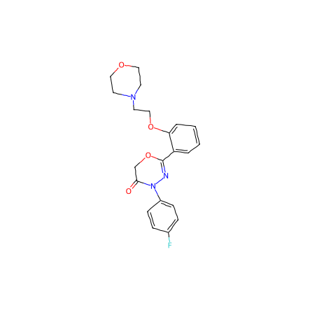 O=C1COC(c2ccccc2OCCN2CCOCC2)=NN1c1ccc(F)cc1